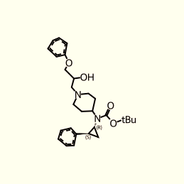 CC(C)(C)OC(=O)N(C1CCN(CC(O)COc2ccccc2)CC1)[C@@H]1C[C@H]1c1ccccc1